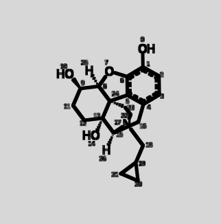 Oc1ccc2c3c1O[C@@H]1[C@H](O)CC[C@]4(O)[C@H](C2)N(CC2CC2)CC[C@@]314